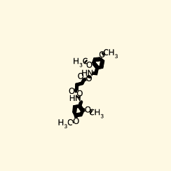 COc1ccc(CNOC(=O)CCC(=O)ONCc2ccc(OC)cc2OC)c(OC)c1